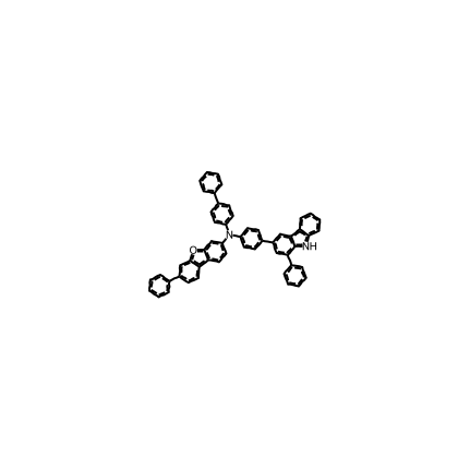 c1ccc(-c2ccc(N(c3ccc(-c4cc(-c5ccccc5)c5[nH]c6ccccc6c5c4)cc3)c3ccc4c(c3)oc3cc(-c5ccccc5)ccc34)cc2)cc1